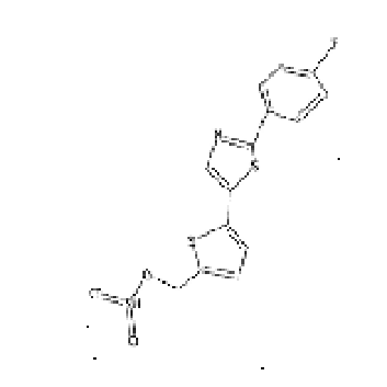 O=[SH](=O)OCc1ccc(-c2cnc(-c3ccc(F)cc3)s2)s1